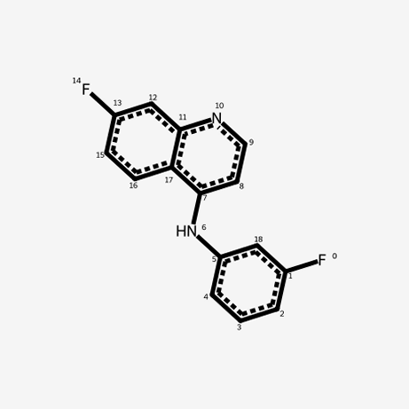 Fc1cccc(Nc2ccnc3cc(F)ccc23)c1